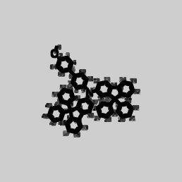 COc1ccc(-c2ccc(N(c3ccc4c(c3)C(c3ccccc3)(c3ccccc3)c3ccccc3-4)c3ccc4c(c3)C(c3ccccc3)(c3ccccc3)c3ccccc3-4)cc2)cc1